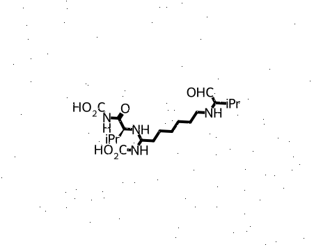 CC(C)C(C=O)NCCCCCCC(NC(=O)O)N[C@H](C(=O)NC(=O)O)C(C)C